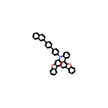 c1ccc(N(c2ccc(-c3ccc(-c4ccc5ccccc5c4)cc3)cc2)c2ccc3c(c2)oc2ccccc23)c(-c2cccc3c2oc2ccccc23)c1